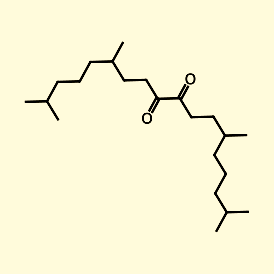 CC(C)CCCC(C)CCC(=O)C(=O)CCC(C)CCCC(C)C